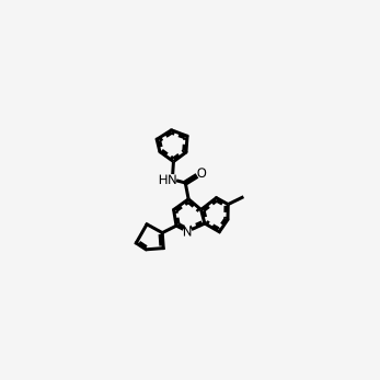 Cc1ccc2nc(C3=CC=CC3)cc(C(=O)Nc3ccccc3)c2c1